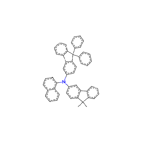 CC1(C)c2ccccc2-c2cc(N(c3ccc4c(c3)-c3ccccc3C4(c3ccccc3)c3ccccc3)c3cccc4ccccc34)ccc21